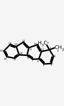 CC1(C)C=[C]C=c2cc3c(cc21)=Cc1ccccc1-3